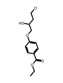 CCOC(=O)c1ccc(OCC(O)CCCl)cc1